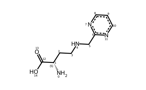 N[C@@H](CCNCc1ncccn1)C(=O)O